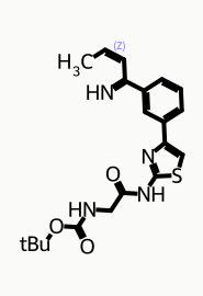 C/C=C\C(=N)c1cccc(-c2csc(NC(=O)CNC(=O)OC(C)(C)C)n2)c1